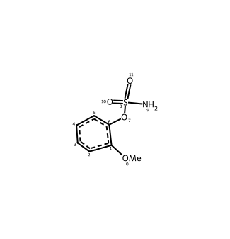 COc1ccccc1OS(N)(=O)=O